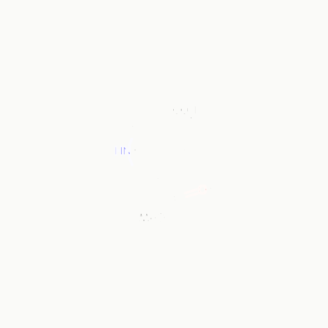 COC(=O)C1CNCC(C(=O)O)C1